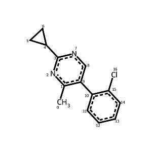 Cc1nc(C2CC2)ncc1-c1ccccc1Cl